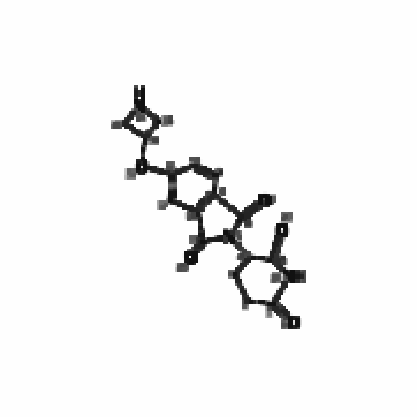 O=C1CCC(N2C(=O)c3ccc(OC4CNC4)cc3C2=O)C(=O)N1